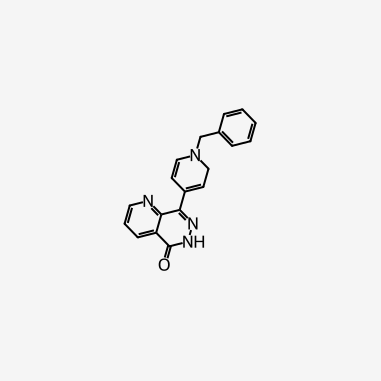 O=c1[nH]nc(C2=CCN(Cc3ccccc3)C=C2)c2ncccc12